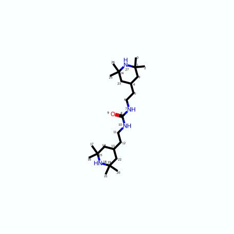 CC1(C)CC(CCNC(=O)NCCC2CC(C)(C)NC(C)(C)C2)CC(C)(C)N1